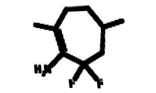 CC1=C(N)C(F)(F)CC(C)CC1